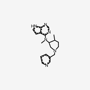 CC1CCN(Cc2cccnc2)CC1N(C)c1ncnc2[nH]ccc12